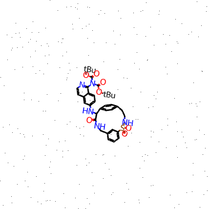 CC(C)(C)OC(=O)N(C(=O)OC(C)(C)C)c1nccc2cc(NC3C(=O)NCc4cccc(c4)S(=O)(=O)NCCc4ccc3cc4)ccc12